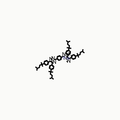 C=N/C(=C(\N=C(/N)c1ccc(-c2nnc(-c3ccc(C(C)(C)CCC(C)C)cc3)c(-c3ccc(C(C)(C)CCC(C)C)cc3)n2)cc1)c1ccc(C(C)(C)CCC(C)C)cc1)c1ccc(C(C)(C)CCC(C)C)cc1